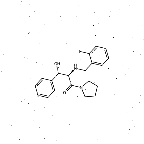 O=C([C@H](NCc1ccccc1I)[C@@H](O)c1ccncc1)N1CCCC1